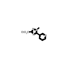 CCOC(=O)c1nc(-c2cccnc2)n(C)n1